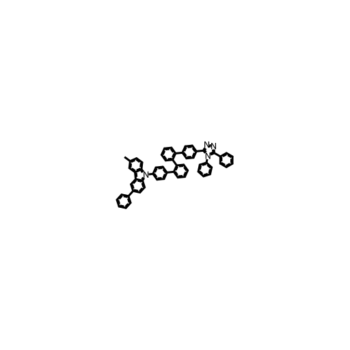 Cc1ccc2c(c1)c1cc(-c3ccccc3)ccc1n2-c1ccc(-c2ccccc2-c2ccccc2-c2ccc(-c3nnc(-c4ccccc4)n3-c3ccccc3)cc2)cc1